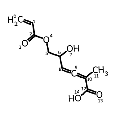 C=CC(=O)OCC(O)C=C=C(C)C(=O)O